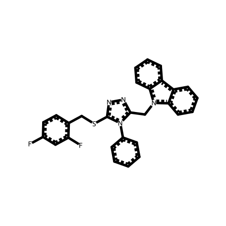 Fc1ccc(CSc2nnc(Cn3c4ccccc4c4ccccc43)n2-c2ccccc2)c(F)c1